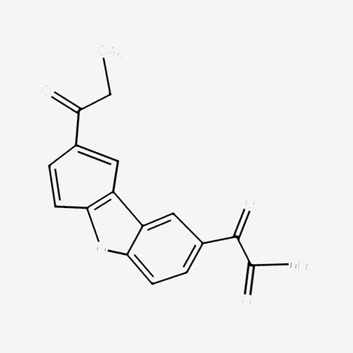 CCCC(=O)C(=O)c1ccc2oc3ccc(C(=O)COC(C)=O)cc3c2c1